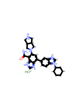 Cl.NC(=O)c1c(N2CC3CNCC3C2)cc(-c2ccc3c(c2)ncn3C2CCCCC2)c2nc[nH]c12